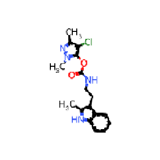 Cc1nn(C)c(OC(=O)NCCc2c(C)[nH]c3ccccc23)c1Cl